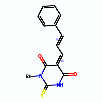 CCN1C(=O)/C(=C\C=C\c2ccccc2)C(=O)NC1=S